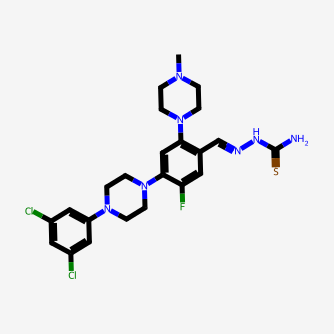 CN1CCN(c2cc(N3CCN(c4cc(Cl)cc(Cl)c4)CC3)c(F)cc2C=NNC(N)=S)CC1